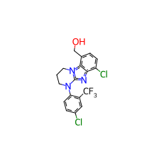 OCc1ccc(Cl)c2nc3n(c12)CCCN3c1ccc(Cl)cc1C(F)(F)F